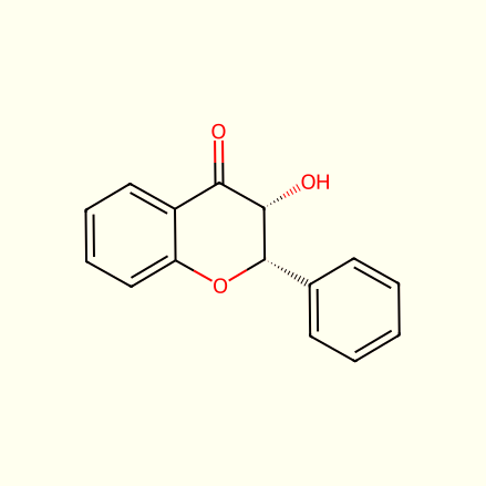 O=C1c2ccccc2O[C@@H](c2ccccc2)[C@H]1O